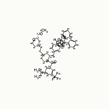 COC[C@@H]1CN(CCN2CCN(C(=O)c3cc(N(C)C)cc(C(F)(F)F)c3)[C@H](Cc3ccc(C)c(O[Si](c4ccccc4)(c4ccccc4)C(C)(C)C)c3)C2)CCO1